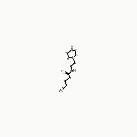 CC(=O)CCCC(=O)NCCN1CCNCC1